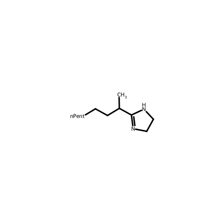 CCCCCCCC(C)C1=NCCN1